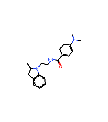 CC1Cc2ccccc2N1CCNC(=O)C1=CC=C(N(C)C)CC1